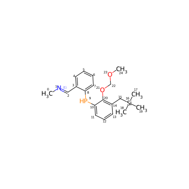 C/N=C/c1ccccc1Pc1cccc(C[Si](C)(C)C)c1OCOC